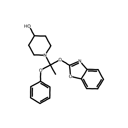 CC(Oc1ccccc1)(Oc1nc2ccccc2o1)N1CCC(O)CC1